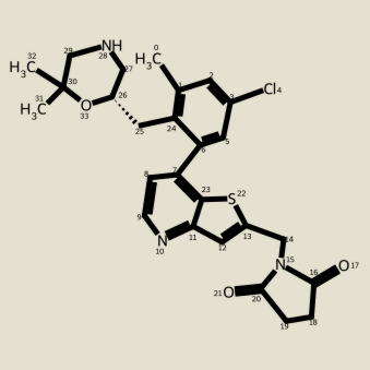 Cc1cc(Cl)cc(-c2ccnc3cc(CN4C(=O)CCC4=O)sc23)c1C[C@H]1CNCC(C)(C)O1